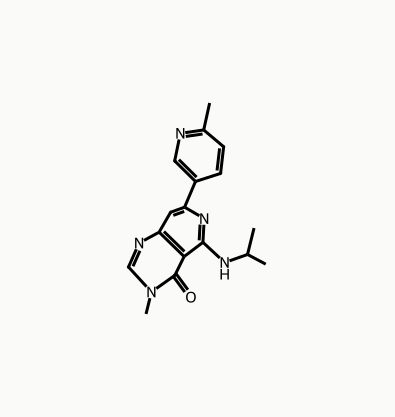 Cc1ccc(-c2cc3ncn(C)c(=O)c3c(NC(C)C)n2)cn1